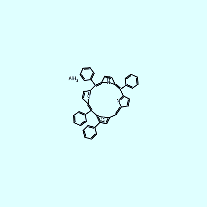 C1=Cc2nc1cc1cc(-c3ccccc3)c([nH]1)c(-c1ccccc1)c1nc(c(-c3ccccc3)c3ccc([nH]3)c2-c2ccccc2)C=C1.[AlH3]